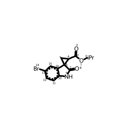 CC(C)OC(=O)C1CC12C(=O)Nc1ccc(Br)cc12